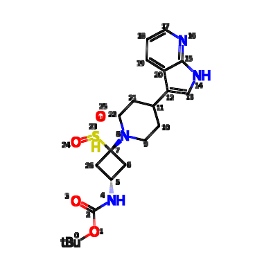 CC(C)(C)OC(=O)N[C@H]1C[C@@](N2CCC(c3c[nH]c4ncccc34)CC2)([SH](=O)=O)C1